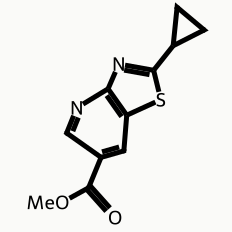 COC(=O)c1cnc2nc(C3CC3)sc2c1